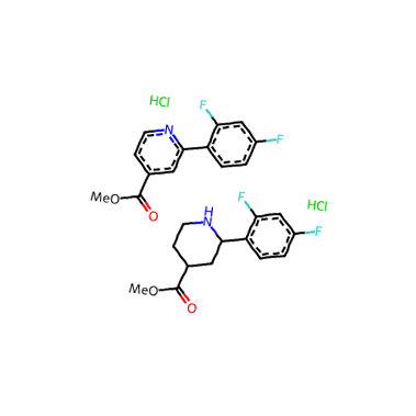 COC(=O)C1CCNC(c2ccc(F)cc2F)C1.COC(=O)c1ccnc(-c2ccc(F)cc2F)c1.Cl.Cl